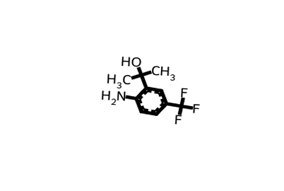 CC(C)(O)c1cc(C(F)(F)F)ccc1N